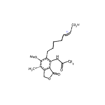 COc1c(C)c2c(c(NC(=O)C(F)(F)F)c1CCCC/C=C/C(=O)O)C(=O)OC2